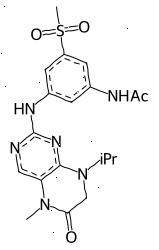 CC(=O)Nc1cc(Nc2ncc3c(n2)N(C(C)C)CC(=O)N3C)cc(S(C)(=O)=O)c1